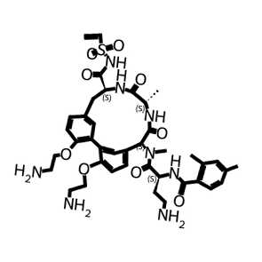 C=CS(=O)(=O)NC(=O)[C@@H]1Cc2ccc(OCCN)c(c2)-c2cc(ccc2OCCN)[C@H](N(C)C(=O)[C@H](CCN)NC(=O)c2ccc(C)cc2C)C(=O)N[C@@H](C)C(=O)N1